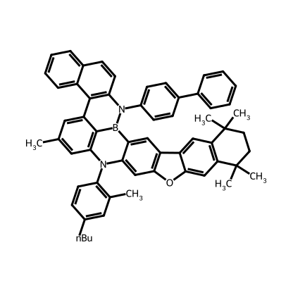 CCCCc1ccc(N2c3cc4oc5cc6c(cc5c4cc3B3c4c(cc(C)cc42)-c2c(ccc4ccccc24)N3c2ccc(-c3ccccc3)cc2)C(C)(C)CCC6(C)C)c(C)c1